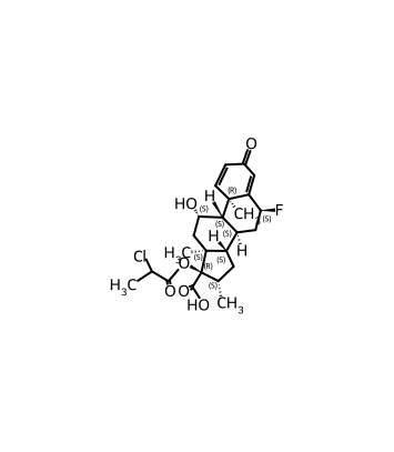 CC(Cl)C(=O)O[C@]1(C(=O)O)[C@@H](C)C[C@H]2[C@@H]3C[C@H](F)C4=CC(=O)C=C[C@]4(C)[C@H]3[C@@H](O)C[C@@]21C